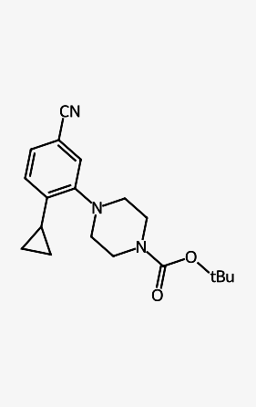 CC(C)(C)OC(=O)N1CCN(c2cc(C#N)ccc2C2CC2)CC1